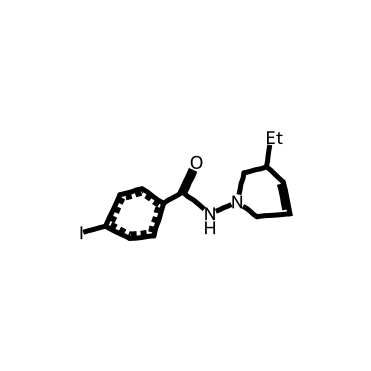 CCC1C=CCN(NC(=O)c2ccc(I)cc2)C1